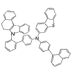 c1ccc2c(c1)CCc1c-2c2ccccc2n1-c1ccccc1-c1ccc(N(c2ccc(-c3cccc4ccccc34)cc2)c2ccc3c(c2)sc2ccccc23)cc1